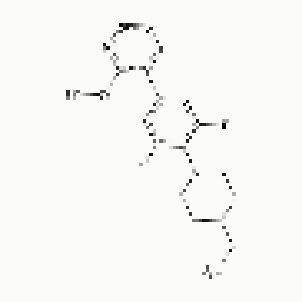 CC(C)Oc1ncccc1-c1cc(F)c(N2CCC(CC(=O)O)CC2)c(F)c1